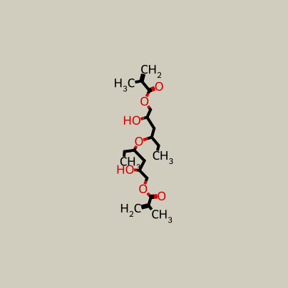 C=C(C)C(=O)OCC(O)CC(CC)OC(CC)CC(O)COC(=O)C(=C)C